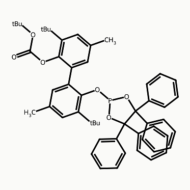 Cc1cc(-c2cc(C)cc(C(C)(C)C)c2OP2OC(c3ccccc3)(c3ccccc3)C(c3ccccc3)(c3ccccc3)O2)c(OC(=O)OC(C)(C)C)c(C(C)(C)C)c1